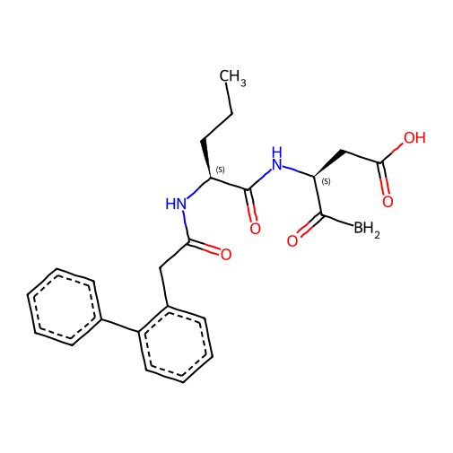 BC(=O)[C@H](CC(=O)O)NC(=O)[C@H](CCC)NC(=O)Cc1ccccc1-c1ccccc1